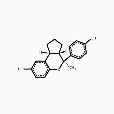 C[C@]1(c2ccc(O)cc2)Oc2ccc(O)cc2[C@@H]2CCC[C@@H]21